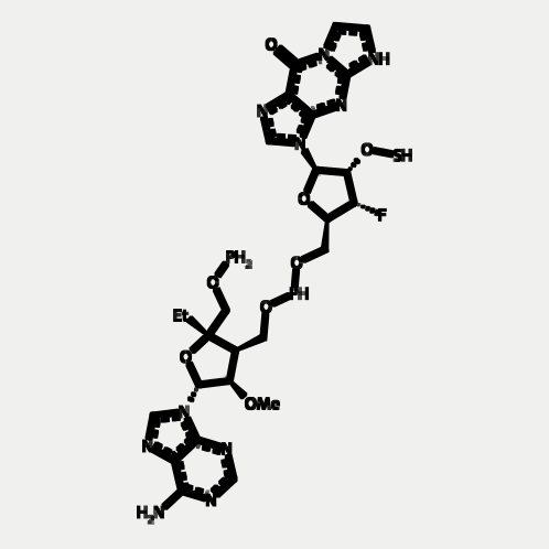 CC[C@]1(COP)O[C@@H](n2cnc3c(N)ncnc32)[C@H](OC)[C@@H]1COPOC[C@H]1O[C@@H](n2cnc3c(=O)n4cc[nH]c4nc32)[C@H](OS)[C@@H]1F